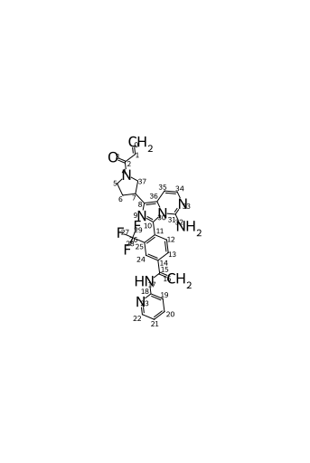 C=CC(=O)N1CCC(c2nc(-c3ccc(C(=C)Nc4ccccn4)cc3C(F)(F)F)n3c(N)nccc23)C1